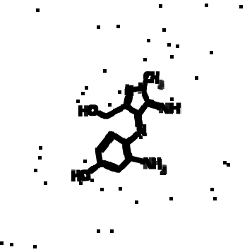 CN1N=C(CO)C(=Nc2ccc(O)cc2N)C1=N